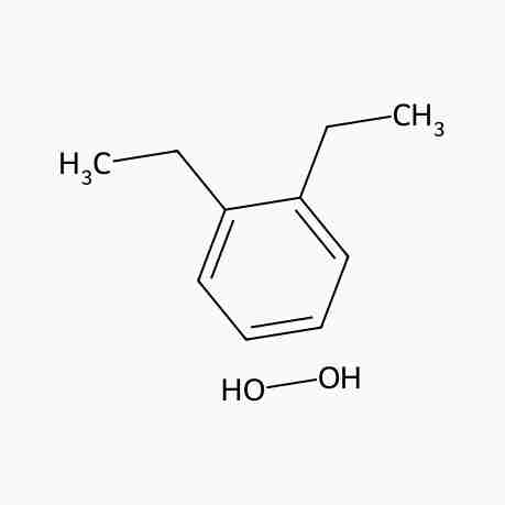 CCc1ccccc1CC.OO